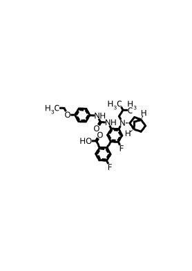 CCOc1ccc(NC(=O)Nc2cc(-c3cc(F)ccc3C(=O)O)c(F)cc2N(CC(C)C)[C@@H]2C[C@H]3CC[C@@H]2C3)cc1